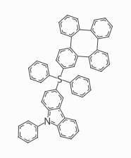 c1ccc(-n2c3ccccc3c3cc(S(c4ccccc4)(c4ccccc4)c4ccc5c(c4)-c4ccccc4-c4ccccc4-c4ccccc4-5)ccc32)cc1